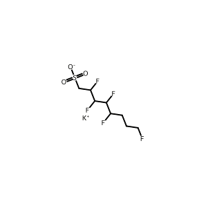 O=S(=O)([O-])CC(F)C(F)C(F)C(F)CCCF.[K+]